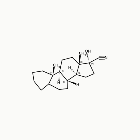 C[C@]12CCCCC1CC[C@@H]1[C@@H]2CC[C@@]2(C)[C@H]1CC[C@]2(O)C#N